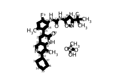 CS(=O)(=O)O.Cc1cc(F)c(NC(=O)Nc2cc(C(C)(C)C)no2)cc1-c1cc2cnc(-c3ccccc3)c(C)c2[nH]c1=O